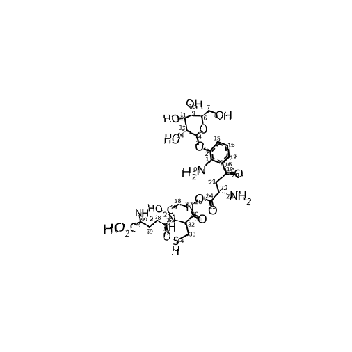 Nc1c(OC2O[C@H](CO)[C@@H](O)[C@H](O)[C@H]2O)cccc1C(=O)C[C@H](N)C(=O)ON(CC(=O)O)C(=O)C(CS)NC(=O)CCC(N)C(=O)O